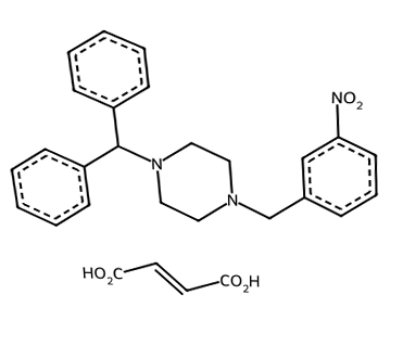 O=C(O)C=CC(=O)O.O=[N+]([O-])c1cccc(CN2CCN(C(c3ccccc3)c3ccccc3)CC2)c1